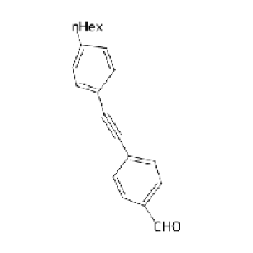 CCCCCCc1ccc(C#Cc2ccc(C=O)cc2)cc1